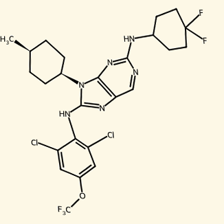 C[C@H]1CC[C@@H](n2c(Nc3c(Cl)cc(OC(F)(F)F)cc3Cl)nc3cnc(NC4CCC(F)(F)CC4)nc32)CC1